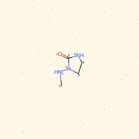 CNN1CCNC1=O